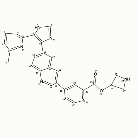 Cc1cccc(-c2[nH]cnc2-c2ccc3ncc(-c4ccnc(C(=O)OC5CNC5)c4)cc3c2)n1